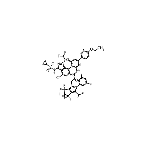 CCOc1ccc(-c2cc(=O)n(-c3ccc(Cl)c4c(NS(=O)(=O)C5CC5)nn(CC(F)F)c34)c([C@H](Cc3cc(F)cc(F)c3)NC(=O)Cn3nc(C(F)F)c4c3C(F)(F)[C@@H]3C[C@H]43)n2)cn1